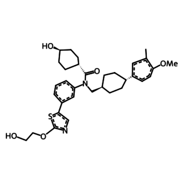 COc1ccc([C@H]2CC[C@H](CN(c3cccc(-c4cnc(OCCO)s4)c3)C(=O)[C@H]3CC[C@H](O)CC3)CC2)cc1C